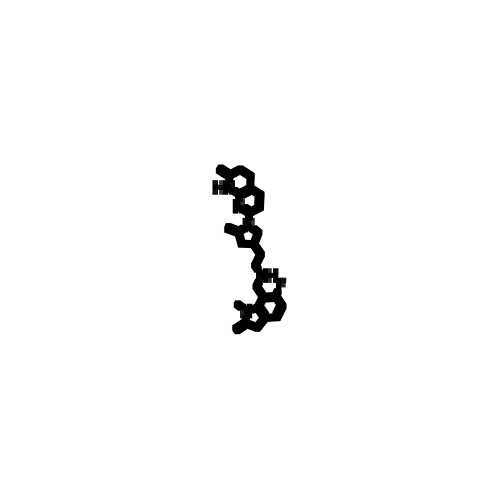 C=C1CCc2ccc(N3CC(CCNCc4c(F)ccc5c4N(C)C(=C)C5)CC3=C)nc2N1